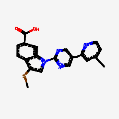 CSc1cn(-c2ncc(-c3cc(C)ccn3)cn2)c2cc(C(=O)O)ccc12